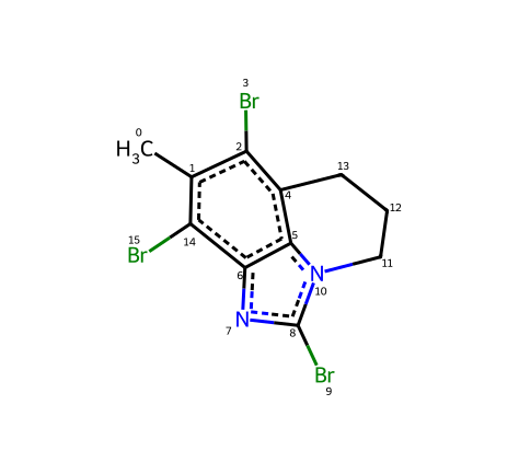 Cc1c(Br)c2c3c(nc(Br)n3CCC2)c1Br